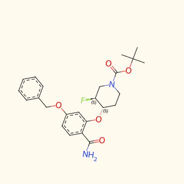 CC(C)(C)OC(=O)N1CC[C@H](Oc2cc(OCc3ccccc3)ccc2C(N)=O)[C@@H](F)C1